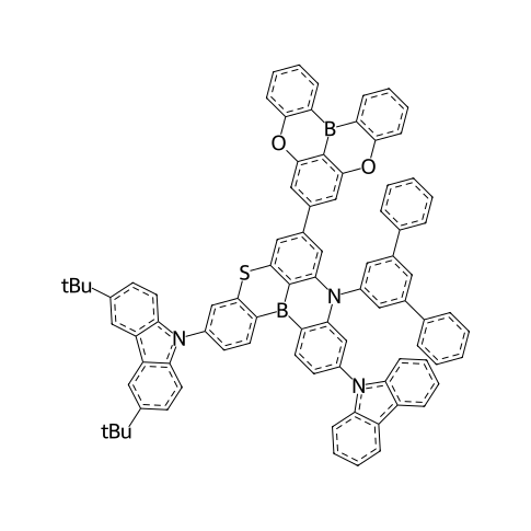 CC(C)(C)c1ccc2c(c1)c1cc(C(C)(C)C)ccc1n2-c1ccc2c(c1)Sc1cc(-c3cc4c5c(c3)Oc3ccccc3B5c3ccccc3O4)cc3c1B2c1ccc(-n2c4ccccc4c4ccccc42)cc1N3c1cc(-c2ccccc2)cc(-c2ccccc2)c1